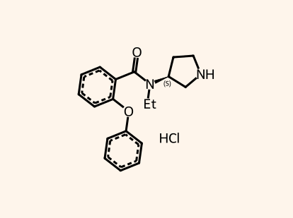 CCN(C(=O)c1ccccc1Oc1ccccc1)[C@H]1CCNC1.Cl